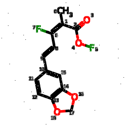 CC(C(=O)OF)=C(F)C=Cc1ccc2c(c1)OCO2